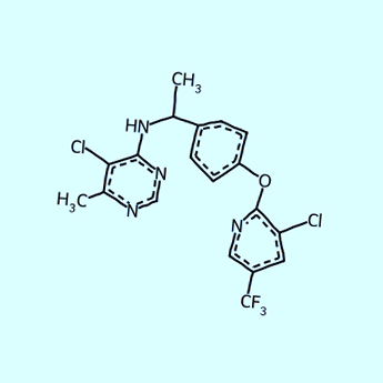 Cc1ncnc(NC(C)c2ccc(Oc3ncc(C(F)(F)F)cc3Cl)cc2)c1Cl